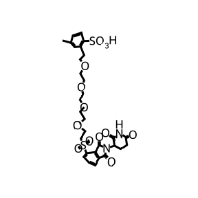 Cc1ccc(S(=O)(=O)O)c(CCOCCOCCOCCOCCS(=O)(=O)c2cccc3c2C(=O)N(C2CCC(=O)NC2=O)C3=O)c1